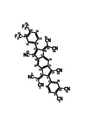 N#CC(C#N)=C1C(c2ccc(C#N)c(C#N)c2)=C(C#N)c2cc3c(cc21)C(C#N)=C(c1ccc(C(F)(F)F)c(C(F)(F)F)c1)C3=C(C#N)C#N